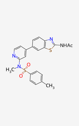 CC(=O)Nc1nc2ccc(-c3ccnc(N(C)S(=O)(=O)c4ccc(C)cc4)c3)cc2s1